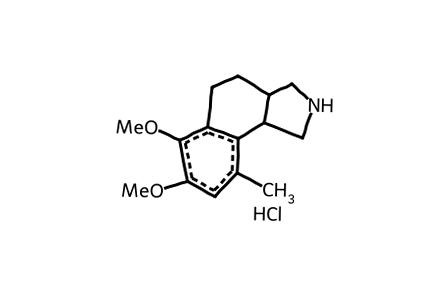 COc1cc(C)c2c(c1OC)CCC1CNCC21.Cl